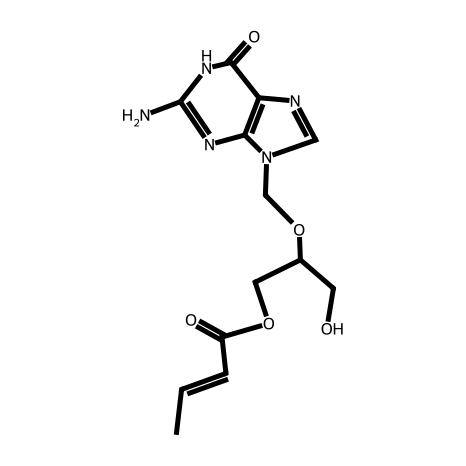 CC=CC(=O)OCC(CO)OCn1cnc2c(=O)[nH]c(N)nc21